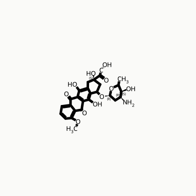 COc1cccc2c1C(=O)c1c(O)c3c(c(O)c1C2=O)C[C@@](O)(C(=O)CO)CC3O[C@H]1C[C@@H](N)[C@H](O)C(C)O1